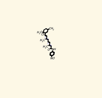 C=C1C=C(/C=C/C(C)=C/C=C/C(C)=C/C(=O)Nc2ccc(N=O)cc2)C(C)(C)CC1